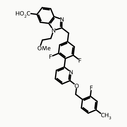 COCCn1c(Cc2cc(F)c(-c3cccc(OCc4ccc(C)cc4F)n3)c(F)c2)nc2ccc(C(=O)O)cc21